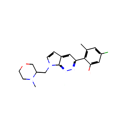 Cc1cc(Cl)cc(O)c1-c1cc2ccn(CC3COCCN3C)c2nn1.Cl